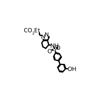 CCOC(=O)Cn1ncc2c1CCCC2NS(=O)(=O)c1ccc(-c2cccc(O)c2)cc1